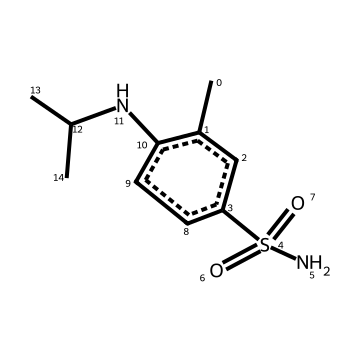 Cc1cc(S(N)(=O)=O)ccc1NC(C)C